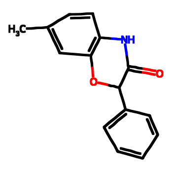 Cc1ccc2c(c1)OC(c1ccccc1)C(=O)N2